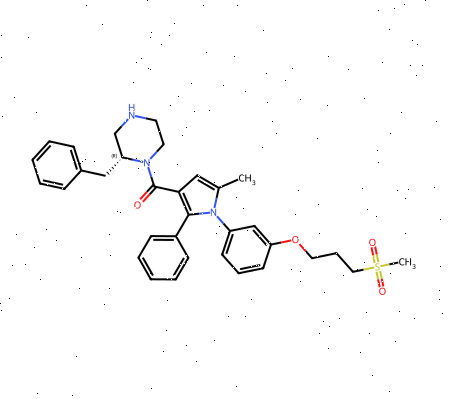 Cc1cc(C(=O)N2CCNC[C@H]2Cc2ccccc2)c(-c2ccccc2)n1-c1cccc(OCCCS(C)(=O)=O)c1